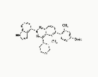 COc1ccc(-c2ccc3nc(-c4cccc5[nH]ccc45)nc(N4CCOC[C@H]4C)c3n2)c(C)n1